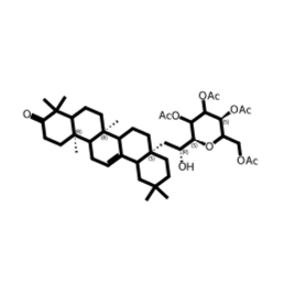 CC(=O)OCC1O[C@@H]([C@H](O)C[C@@]23CCC4C(=CCC5[C@@]4(C)CCC4C(C)(C)C(=O)CC[C@@]45C)C2CC(C)(C)CC3)C(OC(C)=O)C(OC(C)=O)[C@H]1OC(C)=O